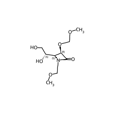 COCO[C@H]1C(=O)N(COC)[C@H]1[C@H](O)CO